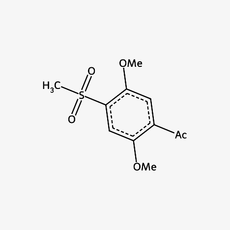 COc1cc(S(C)(=O)=O)c(OC)cc1C(C)=O